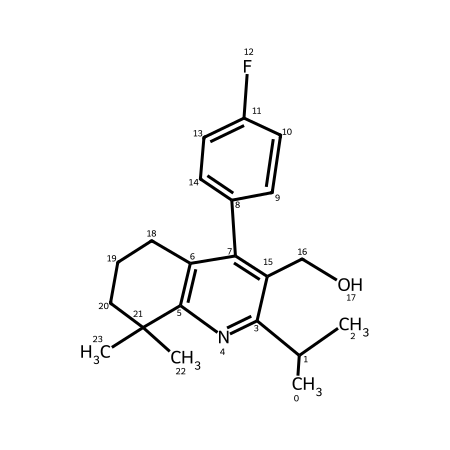 CC(C)c1nc2c(c(-c3ccc(F)cc3)c1CO)CCCC2(C)C